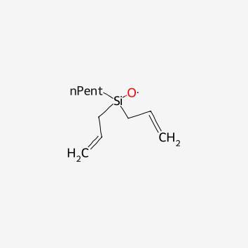 C=CC[Si]([O])(CC=C)CCCCC